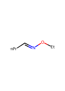 CC[CH]C=NOCC